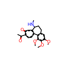 CNC1CCc2cc(OC)c(OC)c(OC)c2-c2ccc(C(C)=O)c(=O)cc21